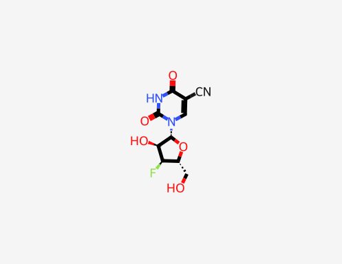 N#Cc1cn([C@@H]2O[C@H](CO)[C@@H](F)[C@H]2O)c(=O)[nH]c1=O